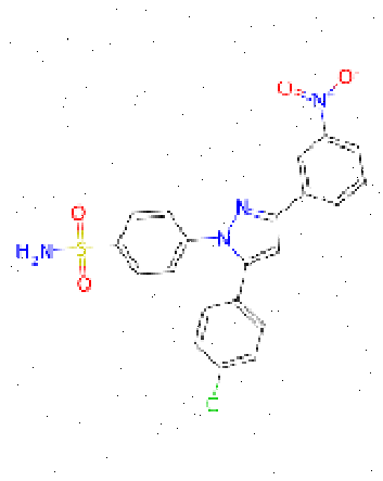 NS(=O)(=O)c1ccc(-n2nc(-c3cccc([N+](=O)[O-])c3)cc2-c2ccc(Cl)cc2)cc1